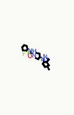 Cc1ccc2c(cnn2C2CCN(C(=O)NC3CCCCC3(F)F)CC2)c1